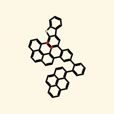 c1ccc(-c2ccc3ccc4cccc5ccc2c3c45)c(-c2ccc(-c3ccc4oc5ccccc5c4c3)c(-c3ccc4ccc5cccc6ccc3c4c56)c2)c1